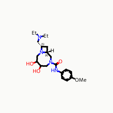 CCN(CC)C[C@@H]1C[C@@H]2CN(C(=O)Nc3ccc(OC)cc3)CC(O)C(O)CN21